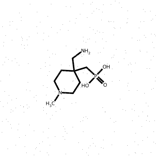 CN1CCC(CN)(CP(=O)(O)O)CC1